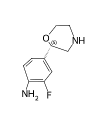 Nc1ccc([C@H]2CNCCO2)cc1F